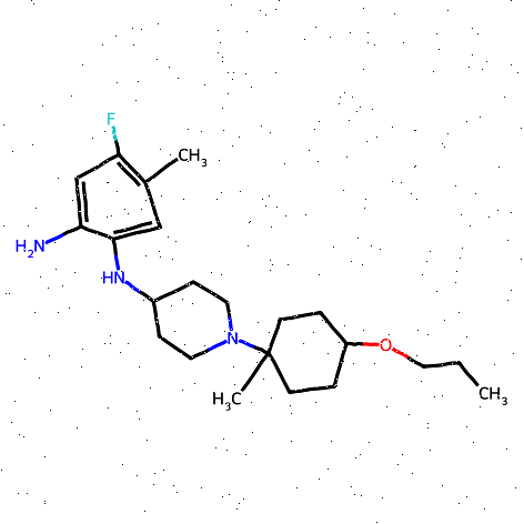 CCCOC1CCC(C)(N2CCC(Nc3cc(C)c(F)cc3N)CC2)CC1